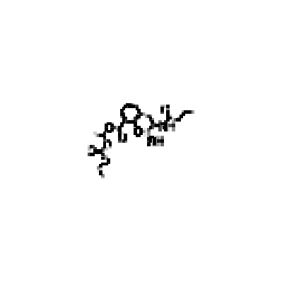 CCCC(=O)NC1Cc2cccc(C(=O)OC(C)OC(=O)OCC)c2OB1O